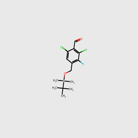 CC(C)(C)[Si](C)(C)OCc1cc(Cl)c(C=O)c(Cl)c1F